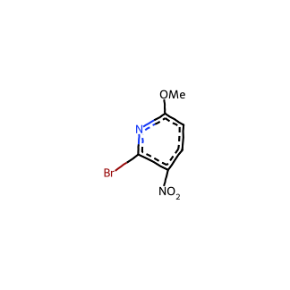 COc1ccc([N+](=O)[O-])c(Br)n1